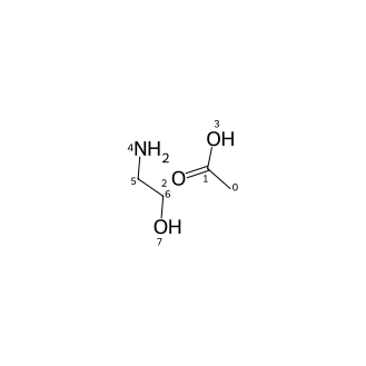 CC(=O)O.NCCO